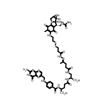 CO[C@@]12[C@H](COC(N)=O)C3=C(C(=O)C(C)=C(NCCSSCCC(=O)N/N=C(\C)CCC(=O)NCC(NC(=O)CCC(NC(=O)c4ccc(NCc5cnc6nc(N)[nH]c(=O)c6n5)cc4)C(=O)O)C(=O)O)C3=O)N1CC1N[C@@H]12